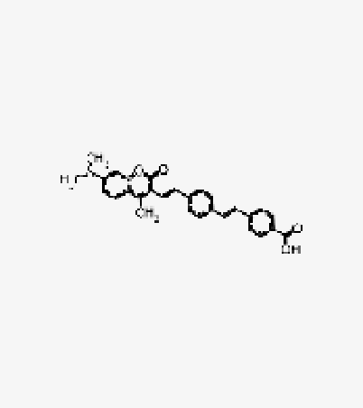 Cc1c(/C=C/c2ccc(/C=C/c3ccc(C(=O)O)cc3)cc2)c(=O)oc2cc(N(C)C)ccc12